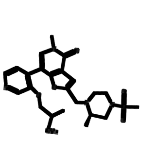 COC(C)COc1cnccc1-c1cn(C)c(=O)c2cc(CN3CCN(S(C)(=O)=O)C[C@H]3C)oc12